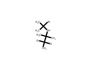 CCC(C)(CC)C(C)(C)PC(C)(C)C(C)C